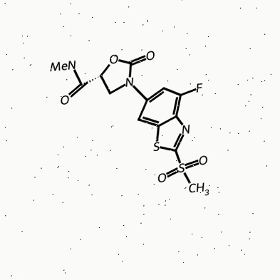 CNC(=O)[C@H]1CN(c2cc(F)c3nc(S(C)(=O)=O)sc3c2)C(=O)O1